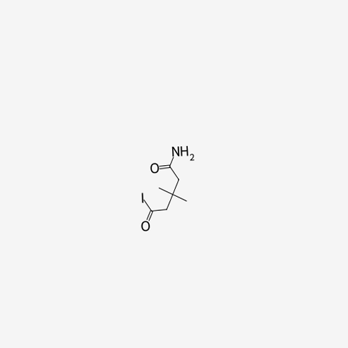 CC(C)(CC(N)=O)CC(=O)I